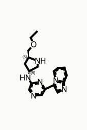 CCOC[C@@H]1C[C@@H](Nc2cncc(-c3cnc4ccccn34)n2)CN1